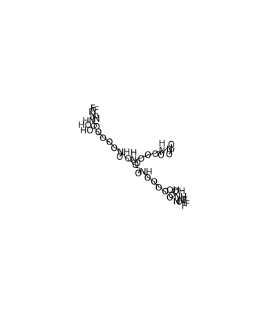 O=C(CCOCC(COCCC(=O)NCCOCCOCCOCCOC[C@H]1OC[C@H](Nc2nccc(C(F)(F)F)n2)[C@@H](O)[C@H]1O)NC(=O)COCCOCCOCC(=O)NCCN1C(=O)C=CC1=O)NCCOCCOCCOCCOC[C@H]1OC[C@H](Nc2nccc(C(F)(F)F)n2)[C@@H](O)[C@H]1O